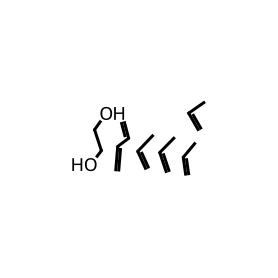 C=CC.C=CC.C=CC.C=CC.C=CC=C.OCCO